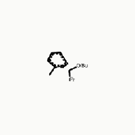 CC(C)COCC(C)C.Cc1ccccc1